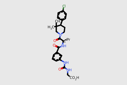 CC(C)[C@@H](NC(=O)c1cccc(NC(=O)NCC(=O)O)c1)C(=O)N1CCC(c2ccc(Cl)cc2)C(C)(C)C1